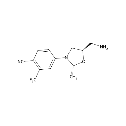 C[C@H]1O[C@H](CN)CN1c1ccc(C#N)c(C(F)(F)F)c1